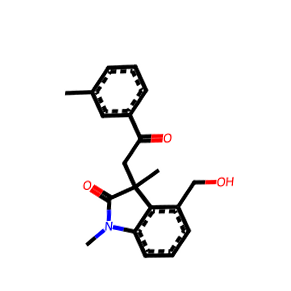 Cc1cccc(C(=O)CC2(C)C(=O)N(C)c3cccc(CO)c32)c1